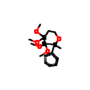 CO[Si]1(OC)CCO[Si](C)(c2ccccc2)[Si]1(OC)OC